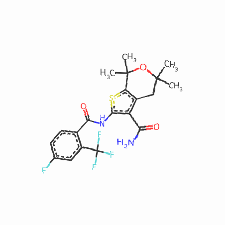 CC1(C)Cc2c(sc(NC(=O)c3ccc(F)cc3C(F)(F)F)c2C(N)=O)C(C)(C)O1